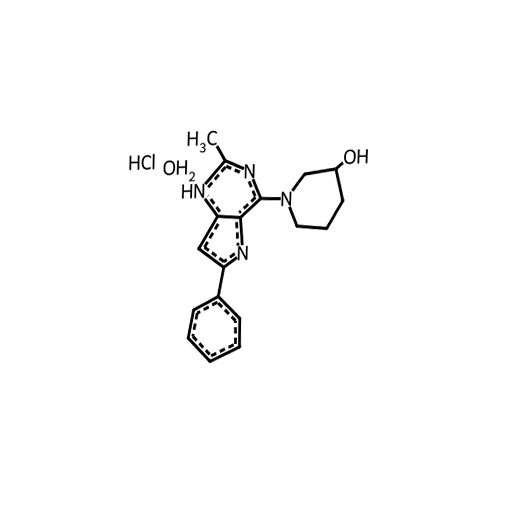 Cc1nc(N2CCCC(O)C2)c2nc(-c3ccccc3)cc-2[nH]1.Cl.O